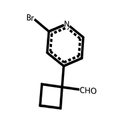 O=CC1(c2ccnc(Br)c2)CCC1